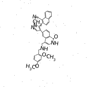 COc1ccc(CNCc2c[nH]c(=O)c3ccc(-c4cnn(C)c4-c4ccc5ccccc5c4C#N)cc23)c(OC)c1